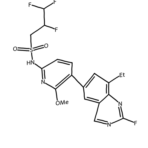 CCc1cc(-c2ccc(NS(=O)(=O)CC(F)C(F)F)nc2OC)cc2cnc(F)nc12